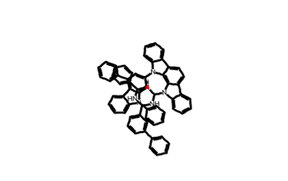 c1ccc(-c2cccc(C3NC(c4ccccc4)NC(n4c5ccccc5c5ccc6c7ccccc7n(-c7cc(-c8ccccc8)c8c9ccccc9n(-c9ccccc9)c8c7)c6c54)N3)c2)cc1